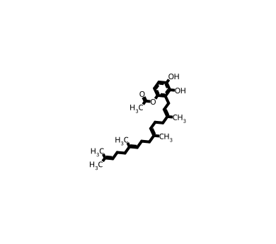 CC(=O)Oc1ccc(O)c(O)c1C/C=C(\C)CC/C=C(\C)CC/C=C(\C)CCC=C(C)C